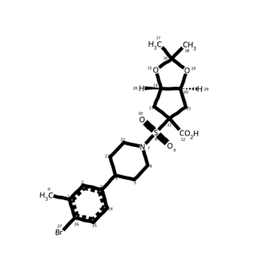 Cc1cc(C2CCN(S(=O)(=O)C3(C(=O)O)C[C@@H]4OC(C)(C)O[C@H]4C3)CC2)ccc1Br